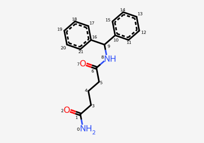 NC(=O)CCCC(=O)NC(c1ccccc1)c1ccccc1